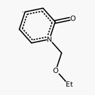 CCOCn1cc[c]cc1=O